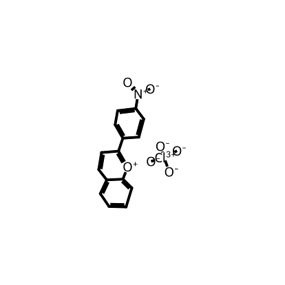 O=[N+]([O-])c1ccc(-c2ccc3ccccc3[o+]2)cc1.[O-][Cl+3]([O-])([O-])[O-]